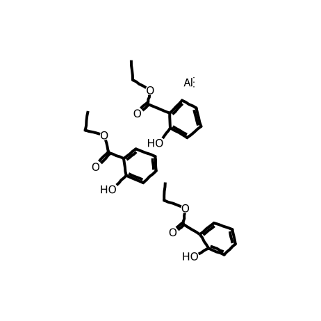 CCOC(=O)c1ccccc1O.CCOC(=O)c1ccccc1O.CCOC(=O)c1ccccc1O.[Al]